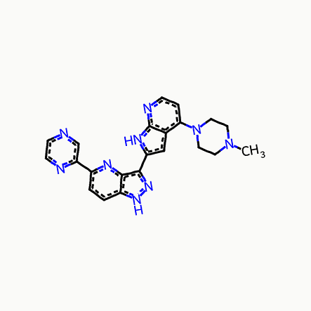 CN1CCN(c2ccnc3[nH]c(-c4n[nH]c5ccc(-c6cnccn6)nc45)cc23)CC1